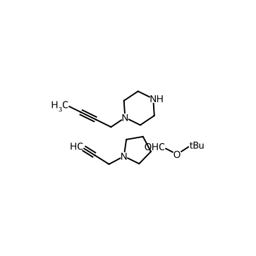 C#CCN1CCCC1.CC#CCN1CCNCC1.CC(C)(C)OC=O